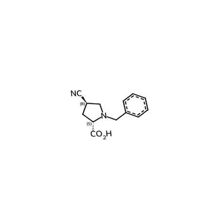 N#C[C@@H]1C[C@@H](C(=O)O)N(Cc2ccccc2)C1